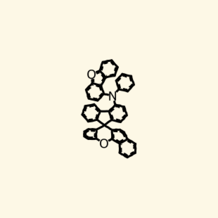 c1ccc(N(c2cccc3c2-c2ccccc2C32c3ccccc3Oc3c2ccc2ccccc32)c2cccc3oc4ccccc4c23)cc1